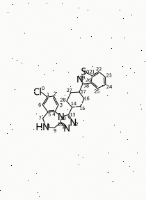 Clc1ccc2c(c1)CNCc1nnc(C3CCC(c4nsc5ccccc45)CC3)n1-2